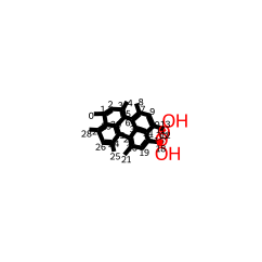 Cc1cc(C)c2c3c(C)cc(C(=O)O)c4c(C(=O)O)cc(C)c(c5c(C)cc(C)c1c25)c43